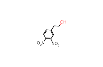 O=[N+]([O-])c1ccc(CCO)cc1[N+](=O)[O-]